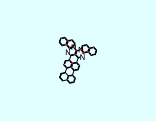 C1=C=C(c2ccc(-c3cc(-c4ccccc4)nc(-c4ccccc4)n3)cc2)c2c(cccc2-c2ccc(-c3cc(-c4ccccc4)nc(-c4ccccc4)n3)cc2)C=1